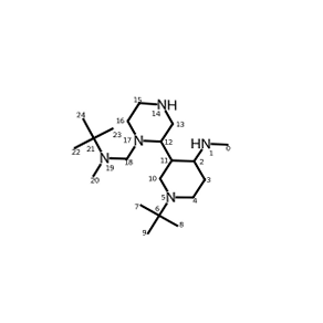 CNC1CCN(C(C)(C)C)CC1C1CNCCN1CN(C)C(C)(C)C